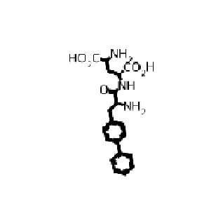 NC(C[C@H](NC(=O)[C@@H](N)Cc1ccc(-c2ccccc2)cc1)C(=O)O)C(=O)O